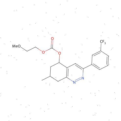 COCCOC(=O)OC1CC(C)Cc2nnc(-c3cccc(C(F)(F)F)c3)cc21